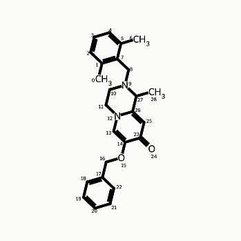 Cc1cccc(C)c1CN1CCn2cc(OCc3ccccc3)c(=O)cc2C1C